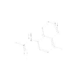 CC(=O)Nc1ccc(C)c2cnccc12